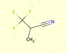 [CH2]C(C#N)C(F)(F)F